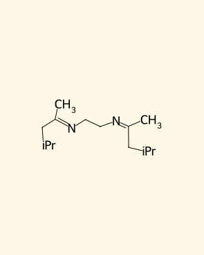 CC(CC(C)C)=NCCN=C(C)CC(C)C